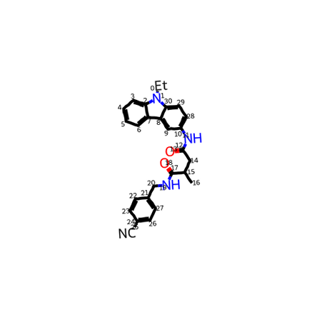 CCn1c2ccccc2c2cc(NC(=O)CC(C)C(=O)NCc3ccc(C#N)cc3)ccc21